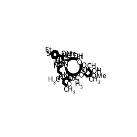 CCSc1ccc([C@@H](OC)[C@@H](CF)n2cc(CCN(C)[C@H]3C[C@@H](C)O[C@@H](O[C@@H]4[C@@H](C)[C@H](O[C@H]5C[C@@](C)(OC)[C@@H](O)[C@H](C)O5)[C@@H](C)C(=O)O[C@H](CC)[C@@](C)(O)[C@H](O)[C@@H](C)N(C)CC[C@@]4(C)O)[C@@H]3O)nn2)cc1